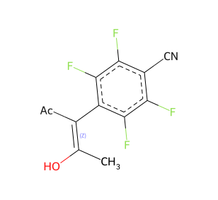 CC(=O)/C(=C(/C)O)c1c(F)c(F)c(C#N)c(F)c1F